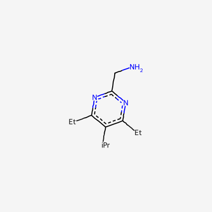 CCc1nc(CN)nc(CC)c1C(C)C